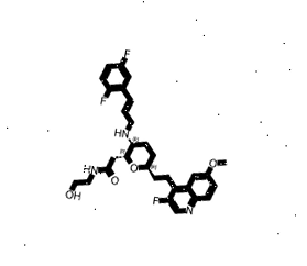 COc1ccc2ncc(F)c(CC[C@@H]3CC[C@@H](NCC=Cc4cc(F)ccc4F)[C@@H](CC(=O)NCCO)O3)c2c1